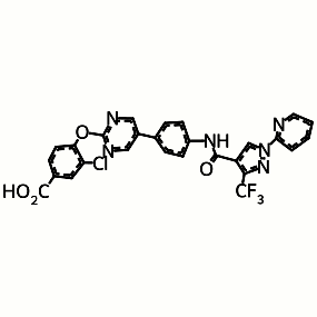 O=C(O)c1ccc(Oc2ncc(-c3ccc(NC(=O)c4cn(-c5ccccn5)nc4C(F)(F)F)cc3)cn2)c(Cl)c1